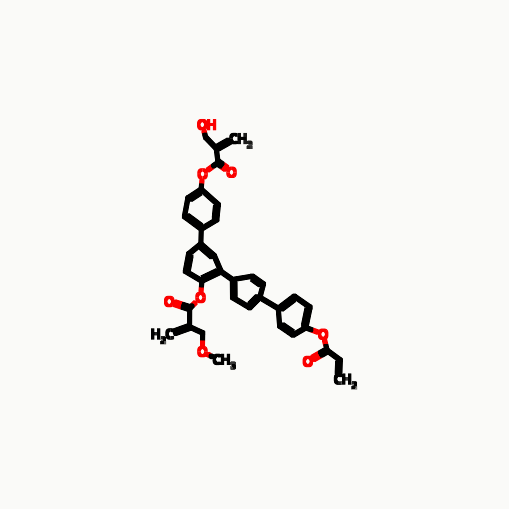 C=CC(=O)Oc1ccc(-c2ccc(-c3cc(-c4ccc(OC(=O)C(=C)CO)cc4)ccc3OC(=O)C(=C)COC)cc2)cc1